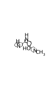 CN1CCC(O)(c2ccc3[nH]cc(C4=CCN5CCC[C@@H]5C4)c3c2)CC1